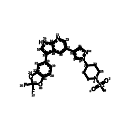 CS(=O)(=O)N1CCC(n2cc(-c3cnc4[nH]cc(-c5ccc6c(c5)OC(F)(F)O6)c4c3)cn2)CC1